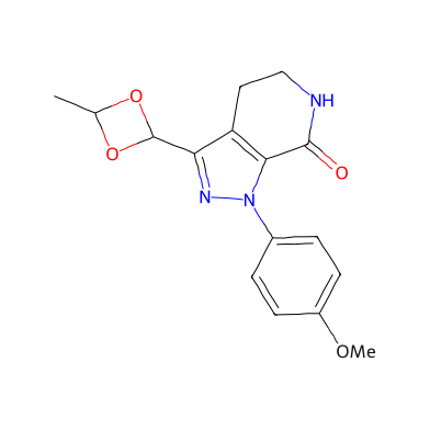 COc1ccc(-n2nc(C3OC(C)O3)c3c2C(=O)NCC3)cc1